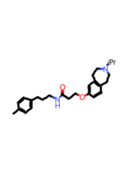 Cc1ccc(CCCNC(=O)CCOc2ccc3c(c2)CCN(C(C)C)CC3)cc1